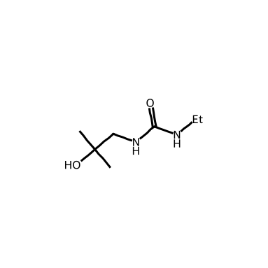 CCNC(=O)NCC(C)(C)O